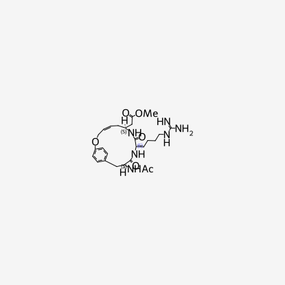 COC(=O)C[C@@H]1CC=CCOc2ccc(cc2)C[C@H](NC(C)=O)C(=O)N/C(=C/CCCNC(=N)N)C(=O)N1